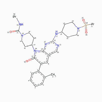 Cc1ccccc1-c1cc2cnc(NC3CCN(S(=O)(=O)C(C)C)CC3)nc2n(C2CCN(C(=O)NC(C)C)CC2)c1=O